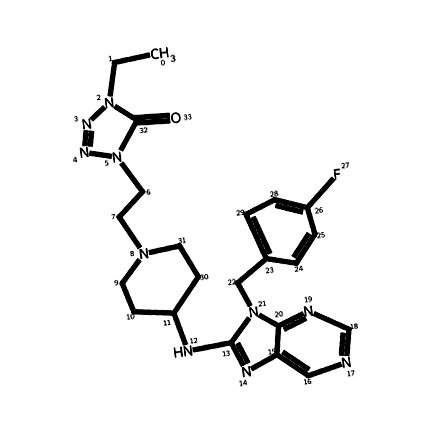 CCn1nnn(CCN2CCC(Nc3nc4cncnc4n3Cc3ccc(F)cc3)CC2)c1=O